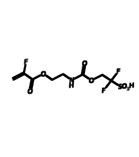 C=C(F)C(=O)OCCNC(=O)OCC(F)(F)S(=O)(=O)O